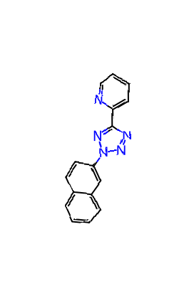 c1ccc(-c2nnn(-c3ccc4ccccc4c3)n2)nc1